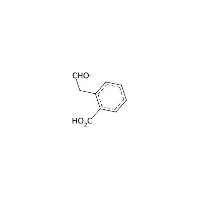 O=[C]Cc1ccccc1C(=O)O